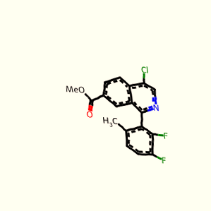 COC(=O)c1ccc2c(Cl)cnc(-c3c(C)ccc(F)c3F)c2c1